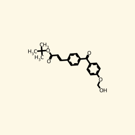 CC(C)(C)OC(=O)/C=C/c1ccc(C(=O)c2ccc(OCO)cc2)cc1